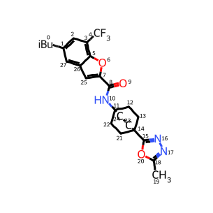 CCC(C)c1cc(C(F)(F)F)c2oc(C(=O)NC34CCC(c5nnc(C)o5)(CC3)CC4)cc2c1